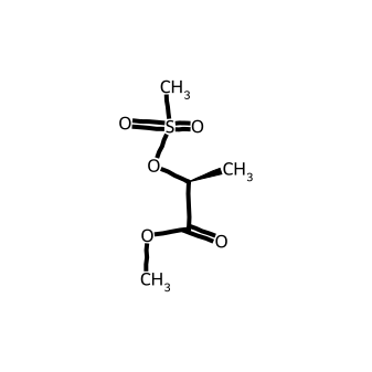 COC(=O)[C@H](C)OS(C)(=O)=O